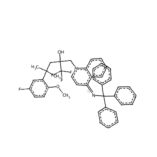 COc1ccc(F)cc1C(C)(C)CC(O)(Cn1cc/c(=N/C(c2ccccc2)(c2ccccc2)c2ccccc2)c2ccccc21)C(F)(F)F